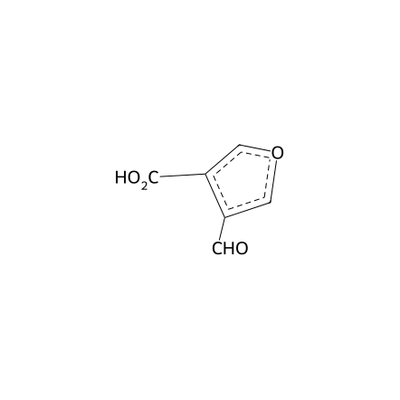 O=Cc1cocc1C(=O)O